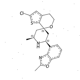 Cc1nc2c([C@@H]3C[C@]4(C[C@H](C)N3)OCCc3cc(Cl)sc34)cccc2o1